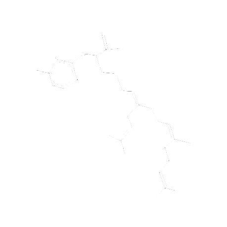 CC(C)=CCCC(C)=CCCC(=CCSCC(Nc1cccc(C)n1)C(=O)O)CC=C(C)C